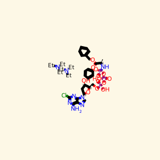 CCN(CC)CC.CCN(CC)CC.C[C@H](NP(=O)(Oc1ccccc1)OP(=O)(O)OP(=O)(O)OC[C@H]1O[C@@H](n2cnc3c(N)nc(Cl)nc32)C[C@@H]1O)C(=O)OCc1ccccc1